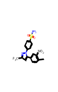 Cc1ccc(-c2cc(C(F)(F)F)nn2-c2ccc(S(N)(=O)=O)cc2)cc1[N+](=O)[O-]